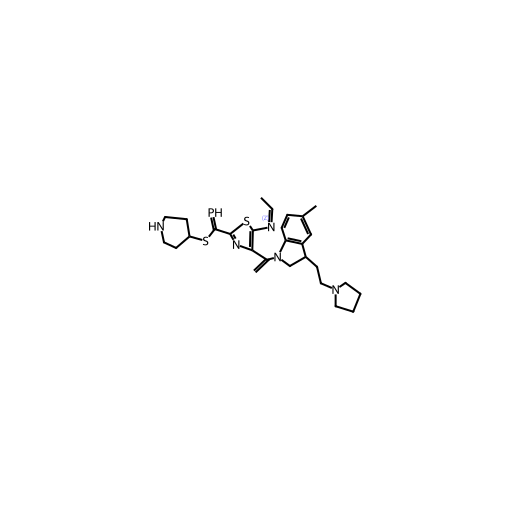 C=C(c1nc(C(=P)SC2CCNCC2)sc1/N=C\C)N1CC(CCN2CCCC2)c2cc(C)ccc21